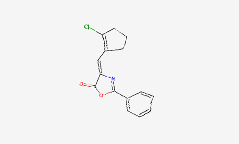 O=C1OC(c2ccccc2)=NC1=CC1=C(Cl)CCC1